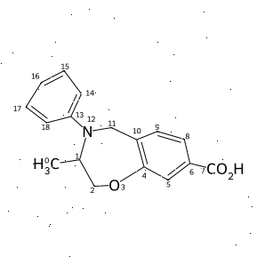 CC1COc2cc(C(=O)O)ccc2CN1c1ccccc1